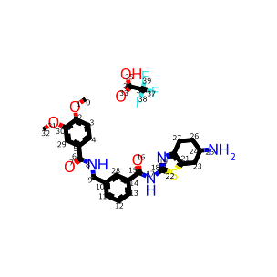 COc1ccc(C(=O)NCc2cccc(C(=O)Nc3nc4c(s3)CC(N)CC4)c2)cc1OC.O=C(O)C(F)(F)F